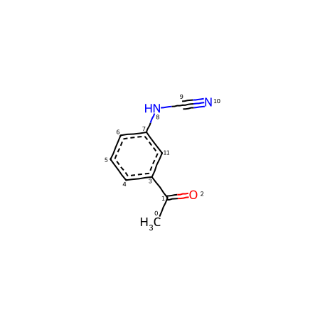 CC(=O)c1cccc(NC#N)c1